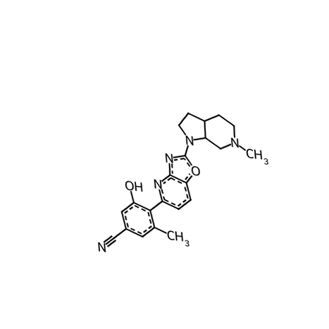 Cc1cc(C#N)cc(O)c1-c1ccc2oc(N3CCC4CCN(C)CC43)nc2n1